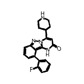 O=c1cc(C2CCNCC2)n2nc3cccc(-c4ccccc4F)c3c2[nH]1